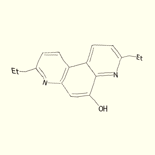 CCc1ccc2c(cc(O)c3nc(CC)ccc32)n1